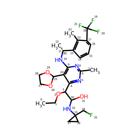 CCOC(c1nc(C)nc(N[C@H](C)c2cccc(C(F)(F)F)c2C)c1C1OCCO1)C(O)NC1(CF)CC1